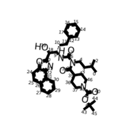 CC(C)CCN(C(=O)N[C@@H](CCc1ccccc1)C(O)c1nc2c(ccc3ccccc32)o1)C(=O)C1CCN(C(=O)OC(C)(C)C)CC1